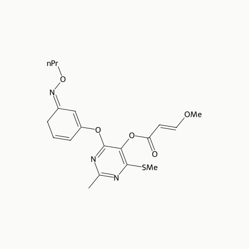 CCCON=C1C=C(Oc2nc(C)nc(SC)c2OC(=O)C=COC)C=CC1